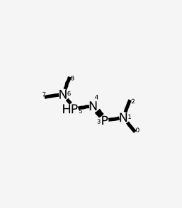 CN(C)P=NPN(C)C